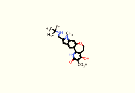 CCC(C)(C)NCc1cc2cc3c(cc2n1C)OCCc1c-3[nH]c(=O)c(C(=O)O)c1O